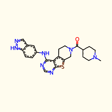 CN1CCC(C(=O)N2CCc3c(sc4ncnc(Nc5ccc6[nH]ncc6c5)c34)C2)CC1